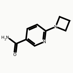 NC(=O)c1ccc(N2C[CH]C2)nc1